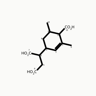 CC1=CC(C(CC(=O)O)C(=O)O)CC(C)C1C(=O)O